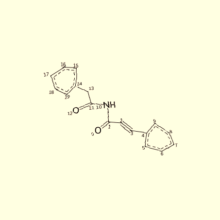 O=C(C#Cc1ccccc1)NC(=O)Cc1ccccc1